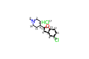 CN1CCC(c2cc3cc(Cl)ccc3o2)CC1.Cl